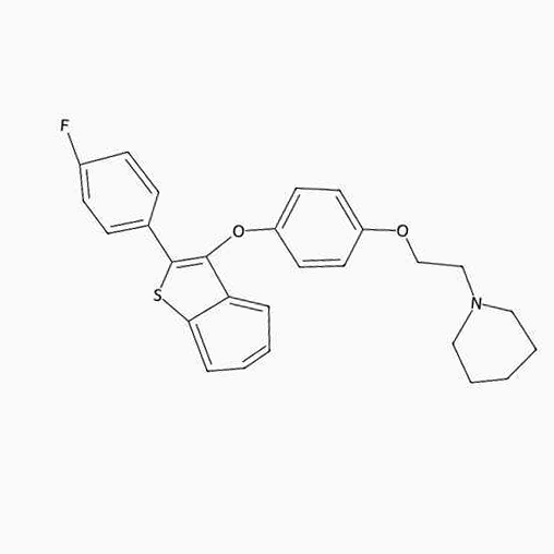 Fc1ccc(-c2sc3ccccc3c2Oc2ccc(OCCN3CCCCC3)cc2)cc1